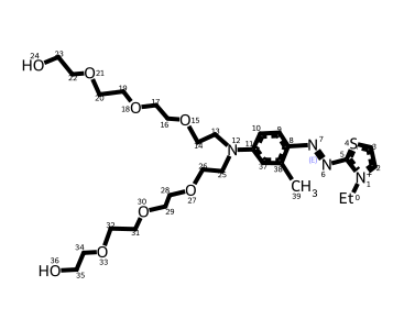 CC[n+]1ccsc1/N=N/c1ccc(N(CCOCCOCCOCCO)CCOCCOCCOCCO)cc1C